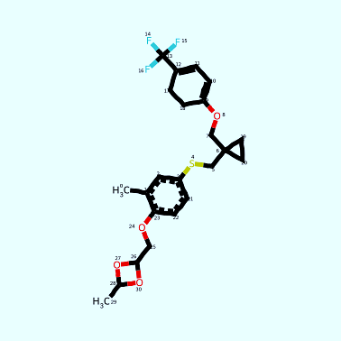 Cc1cc(SCC2(COC3=CC=C(C(F)(F)F)CC3)CC2)ccc1OCC1OC(C)O1